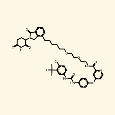 O=C1CCC(N2Cc3c(CCCCCCOCCOCCNC(=O)c4cc(Oc5ccc(NC(=O)Nc6ccc(Cl)c(C(F)(F)F)c6)cc5)ccn4)cccc3C2=O)C(=O)N1